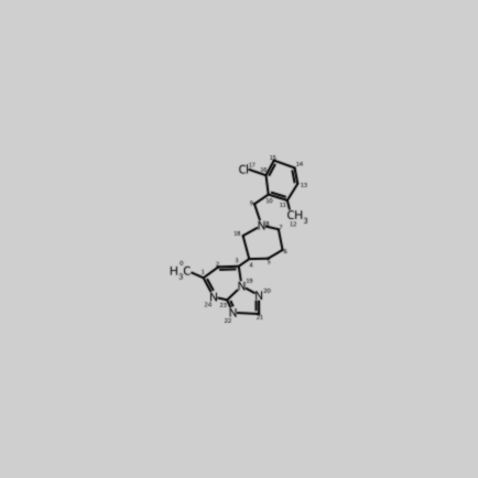 Cc1cc(C2CCCN(Cc3c(C)cccc3Cl)C2)n2ncnc2n1